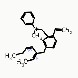 C=Cc1ccc(CC(/C=C\CC)=C/C)cc1CN(C)c1ccccc1